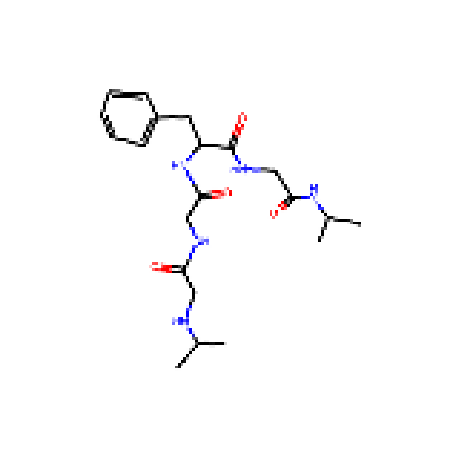 CC(C)NCC(=O)NCC(=O)NC(Cc1ccccc1)C(=O)NCC(=O)NC(C)C